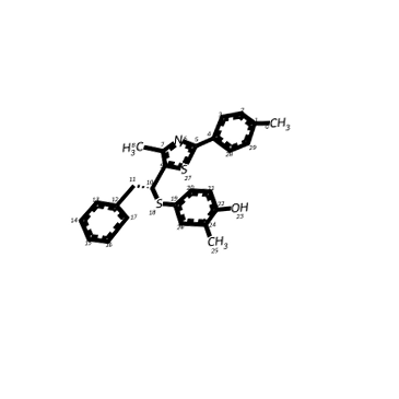 Cc1ccc(-c2nc(C)c([C@@H](Cc3ccccc3)Sc3ccc(O)c(C)c3)s2)cc1